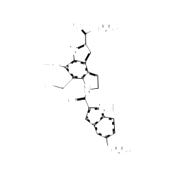 COC(=O)C1=Nc2c(O)c(CCl)c3c(c2=C1)=CCN3C(=O)c1cc2cc(OC)ccc2[nH]1